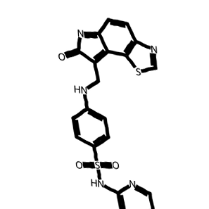 O=C1N=c2ccc3ncsc3c2=C1CNc1ccc(S(=O)(=O)Nc2ccccn2)cc1